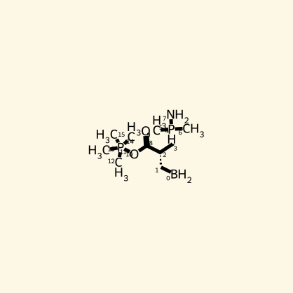 BC[C@@H](C[PH](C)(C)N)C(=O)OP(C)(C)(C)C